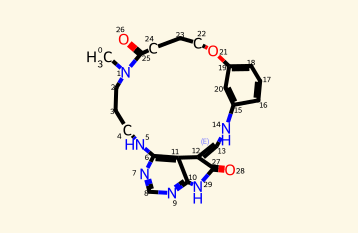 CN1CCCNc2ncnc3c2/C(=C\Nc2cccc(c2)OCCCC1=O)C(=O)N3